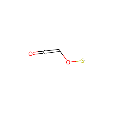 O=C=CO[S]